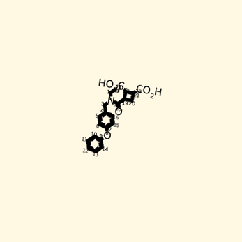 CC(C)CN(Cc1ccc(Oc2ccccc2)cc1)C(=O)C1CC(C(=O)O)C1C(=O)O